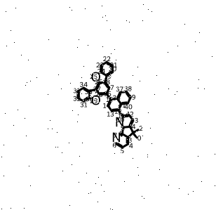 CC1(C)c2cccnc2-c2nc(-c3ccc(-c4cc5c6ccccc6oc5c5c4oc4ccccc45)c4ccccc34)ccc21